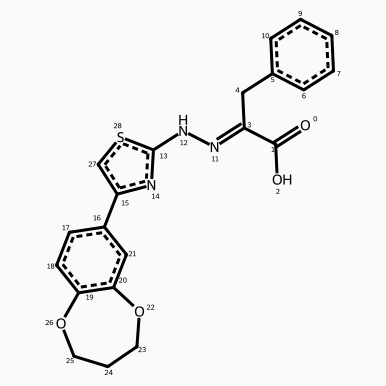 O=C(O)/C(Cc1ccccc1)=N/Nc1nc(-c2ccc3c(c2)OCCCO3)cs1